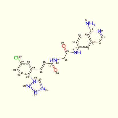 Nc1nccc2cc(NC(=O)CNC(=O)/C=C/c3cc(Cl)ccc3-n3cnnn3)ccc12